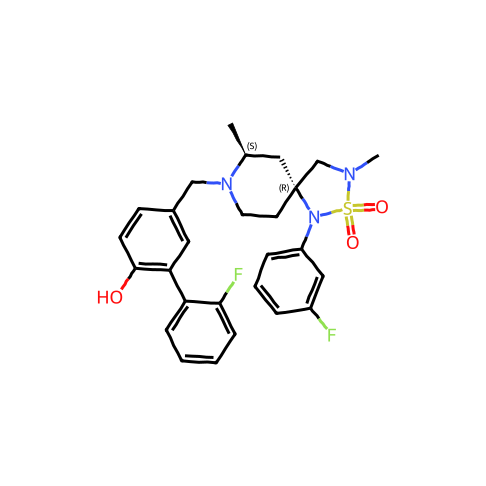 C[C@H]1C[C@]2(CCN1Cc1ccc(O)c(-c3ccccc3F)c1)CN(C)S(=O)(=O)N2c1cccc(F)c1